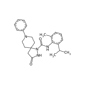 Cc1cccc(C(C)C)c1NC(=O)N1NC(=O)CC12CCN(c1ccccc1)CC2